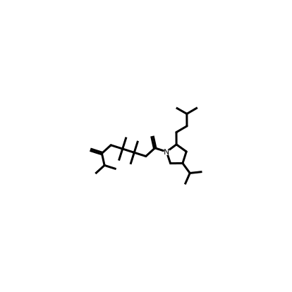 C=C(CC(C)(C)C(C)(C)CC(=C)N1CC(C(C)C)CC1CCC(C)C)C(C)C